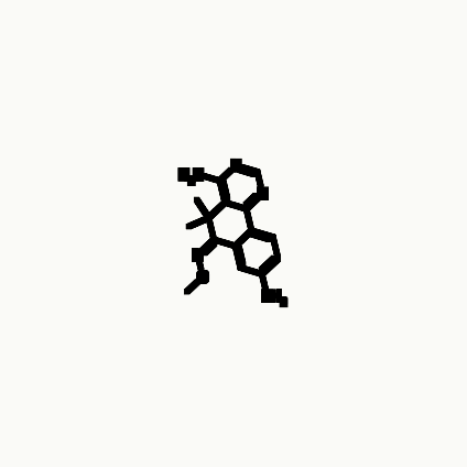 CO/N=C1\c2cc(N)ccc2-c2ncnc(N)c2C1(C)C